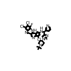 CC(C)(C)N1CCC(n2cc(C(Nc3cc(Cl)c4ncc(C#N)c(Nc5ccc(Cl)c(Cl)c5F)c4c3)c3cccnc3)nn2)CC1